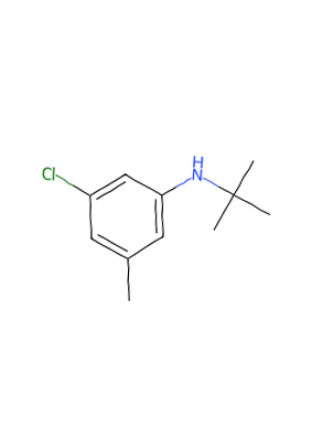 Cc1cc(Cl)cc(NC(C)(C)C)c1